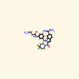 N=C(N)c1ccc2cc(C(=O)N3CCC(F)(F)CC3)n(Cc3cccc(NC(=O)CCN)c3)c2c1